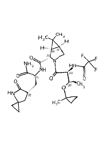 C[C@@H](OC1(C)CC1)[C@H](NC(=O)C(F)(F)F)C(=O)N1C[C@H]2[C@@H]([C@H]1C(=O)N[C@@H](C[C@@H]1CC3(CC3)NC1=O)C(N)=O)C2(C)C